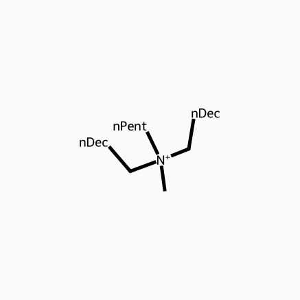 CCCCCCCCCCC[N+](C)(CCCCC)CCCCCCCCCCC